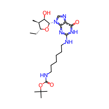 CC[C@H]1O[C@@H](n2cnc3c(=O)[nH]c(NCCCCCCNC(=O)OC(C)(C)C)nc32)[C@H](O)[C@@H]1C